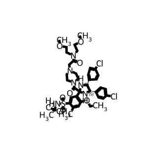 CCOc1cc(C)c(S(=O)(=O)NC(C)(C)C)cc1C1(C(=O)N2CCN(CC(=O)N(CCOC)CCOC)CC2)N[C@H](c2ccc(Cl)cc2)[C@H](c2ccc(Cl)cc2)N1